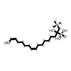 CCCC/C=C\CCCC/C=C\CCCCCCC(O)(C[N+](C)(C)C)P(=O)(O)O